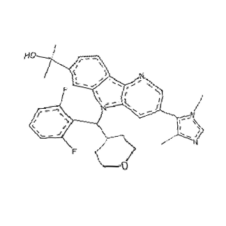 Cc1ncn(C)c1-c1cnc2c3ccc(C(C)(C)O)cc3n(C(c3c(F)cccc3F)C3CCOCC3)c2c1